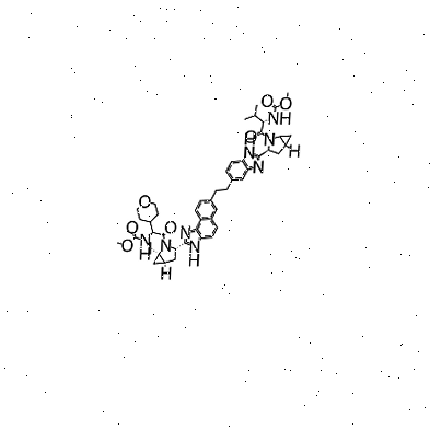 COC(=O)N[C@H](C(=O)N1C2C[C@@H]2C[C@H]1c1nc2cc(CCc3ccc4c(ccc5[nH]c([C@@H]6C[C@H]7C[C@@]7(I)N6C(=O)[C@@H](NC(=O)OC)C6CCOCC6)nc54)c3)ccc2[nH]1)C(C)C